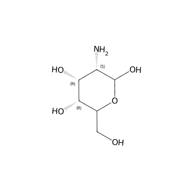 N[C@@H]1C(O)OC(CO)[C@H](O)[C@@H]1O